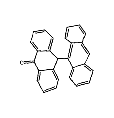 O=C1c2ccccc2C(c2c3ccccc3cc3ccccc23)c2ccccc21